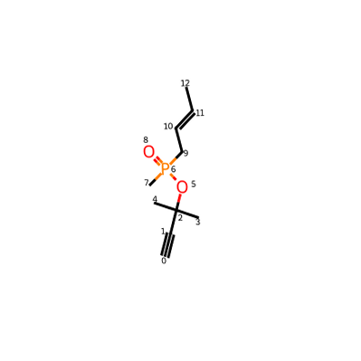 C#CC(C)(C)OP(C)(=O)C/C=C/C